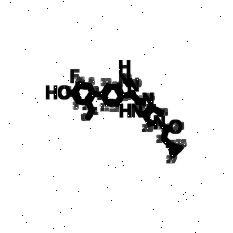 CCc1cc(O)c(F)cc1-c1ccc2c(-c3nc4c([nH]3)CN(C(=O)CC3CC3)C4)n[nH]c2c1